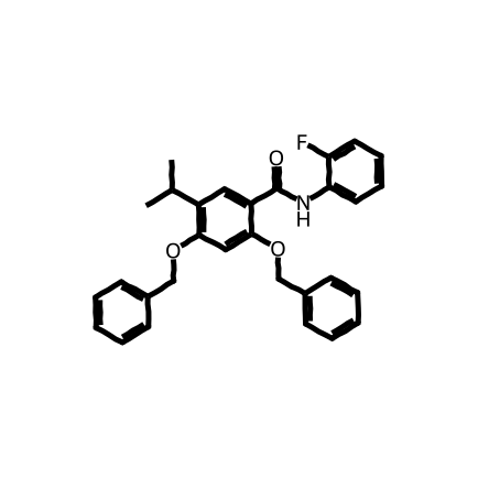 CC(C)c1cc(C(=O)Nc2ccccc2F)c(OCc2ccccc2)cc1OCc1ccccc1